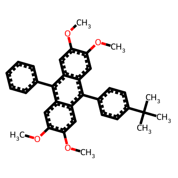 COc1cc2c(-c3ccccc3)c3cc(OC)c(OC)cc3c(-c3ccc(C(C)(C)C)cc3)c2cc1OC